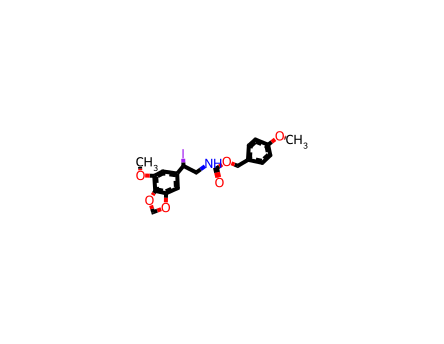 COc1ccc(COC(=O)NCC(I)c2cc(OC)c3c(c2)OCO3)cc1